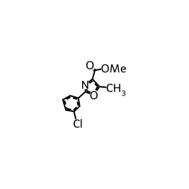 COC(=O)c1nc(-c2cccc(Cl)c2)oc1C